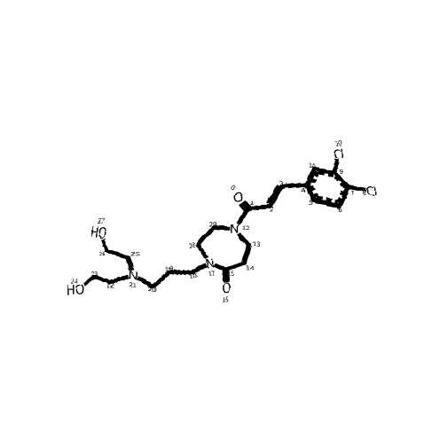 O=C(/C=C/c1ccc(Cl)c(Cl)c1)N1CCC(=O)N(CCCN(CCO)CCO)CC1